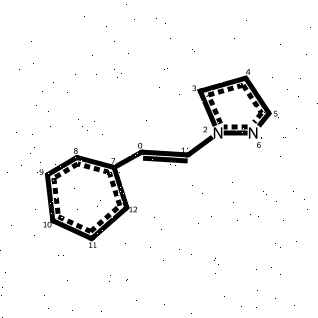 C(=Cn1cccn1)c1ccccc1